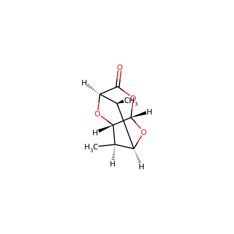 C[C@@H]1[C@@H]2O[C@H]3OC(=O)[C@H](O[C@H]31)[C@H]2C